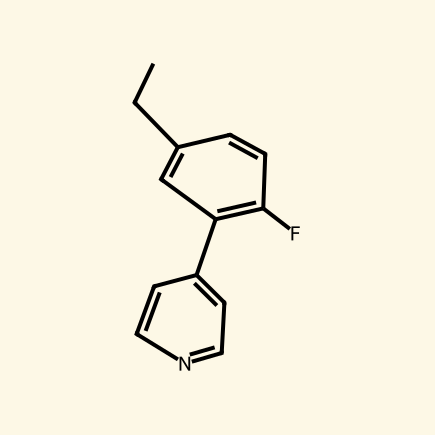 CCc1ccc(F)c(-c2ccncc2)c1